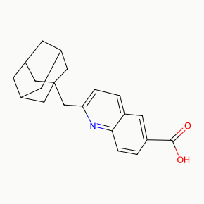 O=C(O)c1ccc2nc(CC34CC5CC(CC(C5)C3)C4)ccc2c1